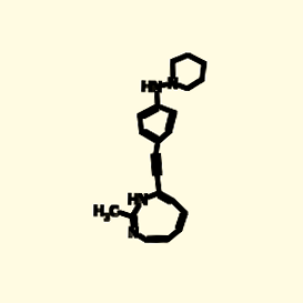 Cc1ncccccc(C#Cc2ccc(NN3CCCCC3)cc2)[nH]1